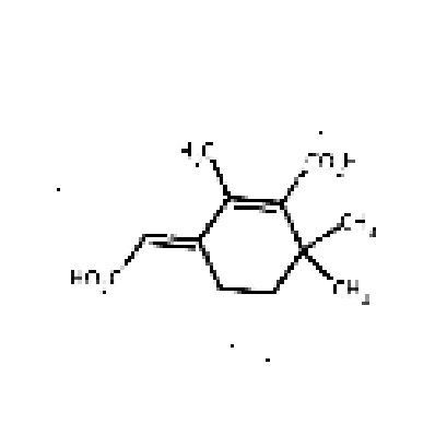 CC1=C(C(=O)O)C(C)(C)CCC1=CC(=O)O